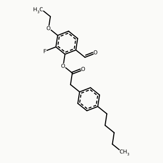 CCCCCc1ccc(CC(=O)Oc2c(C=O)ccc(OCC)c2F)cc1